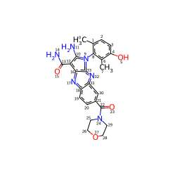 Cc1ccc(O)c(C)c1-n1c(N)c(C(N)=O)c2nc3ccc(C(=O)N4CCOCC4)cc3nc21